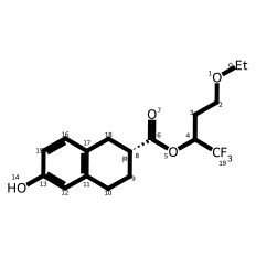 CCOCCC(OC(=O)[C@@H]1CCc2cc(O)ccc2C1)C(F)(F)F